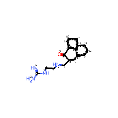 N=C(N)NCCNCC1=Cc2cccc3cccc(c23)C1=O